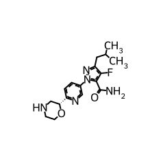 CC(C)Cc1nn(-c2ccc([C@H]3CNCCO3)nc2)c(C(N)=O)c1F